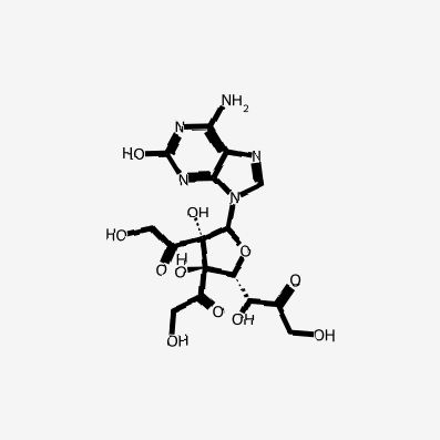 Nc1nc(O)nc2c1ncn2C1O[C@H](C(O)C(=O)CO)[C@](O)(C(=O)CO)[C@@]1(O)C(=O)CO